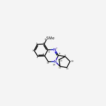 CSc1cccc2c1N=C1C3CCC(C3)N1C2